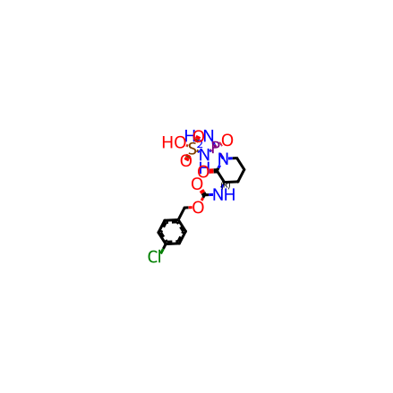 NP(=O)(NS(=O)(=O)O)N1CCC[C@@H](NC(=O)OCc2ccc(Cl)cc2)C1=O